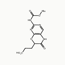 CC(C)(C)OC(=O)Nc1ncc2c(n1)OC(CCC(=O)O)C(=O)N2